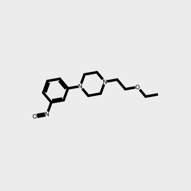 CCOCCN1CCN(c2cccc(N=O)c2)CC1